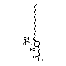 CCCCCCCCCCCCC/C=C1\CC[C@@H](CCCC(=O)O)[C@H](O)[C@H]1SCC(=O)O